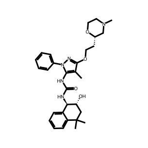 Cc1c(OCC[C@H]2CN(C)CCO2)nn(-c2ccccc2)c1NC(=O)N[C@@H]1c2ccccc2C(C)(C)C[C@H]1O